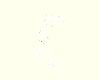 O=C(O)CCCCc1nc2cc(C(=O)N[C@H](c3ccccc3)C(F)(F)F)ccc2nc1-c1ccc(F)cc1